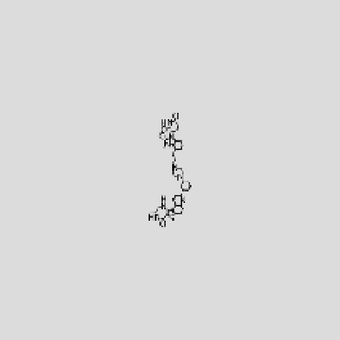 C[C@@H]1CNc2c(sc3ccc4nc(-c5cccc(N6CCN(CCCc7cccc8c7n(C)c(=O)n8C7CCC(=O)NC7=O)CC6)c5)ccc4c23)C(=O)N1